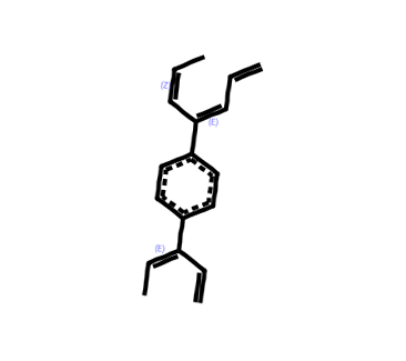 C=C/C=C(\C=C/C)c1ccc(/C(C=C)=C/C)cc1